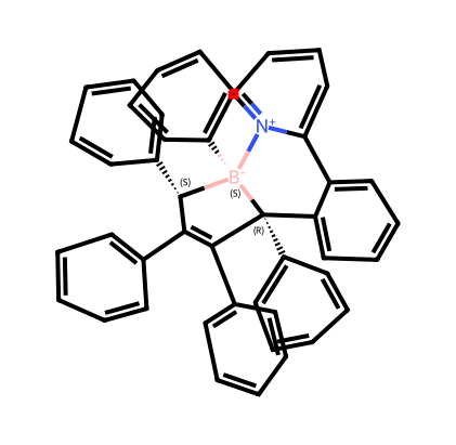 c1ccc(C2=C(c3ccccc3)[C@]3(c4ccccc4)c4ccccc4-c4cccc[n+]4[B@-]3(c3ccccc3)[C@H]2c2ccccc2)cc1